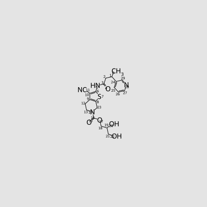 CC(CC(=O)Nc1sc2c(c1C#N)CCN(C(=O)OCC(O)CO)C2)c1cccnc1